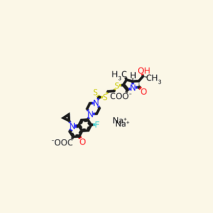 CC1C(SCCSC(=S)N2CCN(c3cc4c(cc3F)c(=O)c(C(=O)[O-])cn4C3CC3)CC2)=C(C(=O)[O-])N2C(=O)[C@@H]([C@@H](C)O)[C@H]12.[Na+].[Na+]